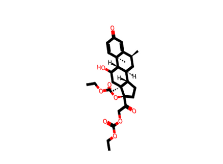 CCOC(=O)OCC(=O)[C@@]1(OC(=O)OCC)CC[C@H]2[C@@H]3C[C@H](C)C4=CC(=O)C=C[C@]4(C)[C@H]3C(O)C[C@@]21C